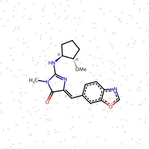 CO[C@H]1CCC[C@@H]1NC1=N/C(=C\c2ccc3ncoc3c2)C(=O)N1C